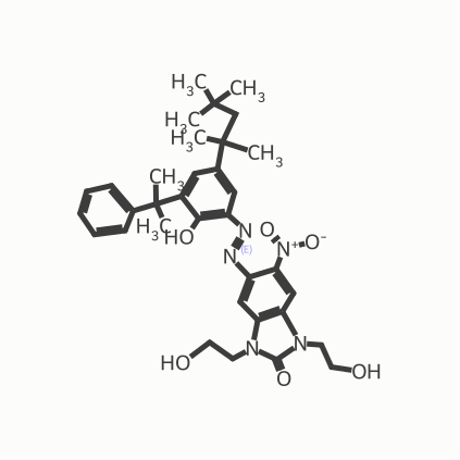 CC(C)(C)CC(C)(C)c1cc(/N=N/c2cc3c(cc2[N+](=O)[O-])n(CCO)c(=O)n3CCO)c(O)c(C(C)(C)c2ccccc2)c1